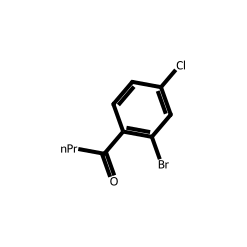 CCCC(=O)c1ccc(Cl)cc1Br